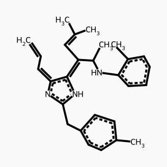 C=C/C=c1/nc(Cc2ccc(C)cc2)[nH]/c1=C(/C=C(C)C)C(C)Nc1ccccc1C